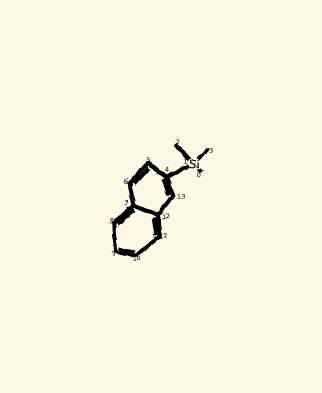 C[Si](C)(C)c1ccc2ccccc2c1